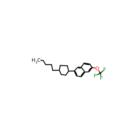 CCCCCC1CCC(c2ccc3cc(OC(F)(F)F)ccc3c2)CC1